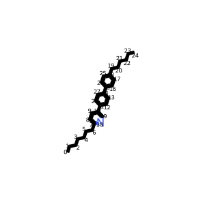 CCCCCCCc1ccc(-c2ccc(-c3ccc(CCCCCC)cc3)cc2)cn1